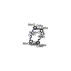 COc1cc(/C=C/C(=O)N[S+]([O-])/C=C/c2cc(OC)c(OC)c(OC)c2)cc(OC)c1OC.COc1cc(/C=C\[S+]([O-])N[S+]([O-])/C=C/c2cc(OC)c(OC)c(OC)c2)cc(OC)c1OC